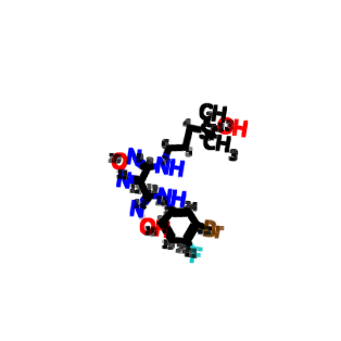 C[Si](C)(O)CCCNc1nonc1/C(=N/O)Nc1ccc(F)c(Br)c1